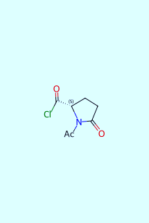 CC(=O)N1C(=O)CC[C@H]1C(=O)Cl